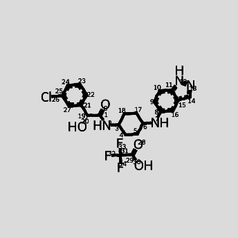 O=C(NC1CCC(Nc2ccc3[nH]ncc3c2)CC1)[C@H](O)c1cccc(Cl)c1.O=C(O)C(F)(F)F